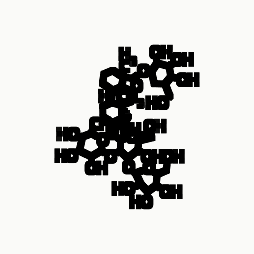 C=C1C[C@@]23CCC4[C@](C)(C(=O)OC5CC(CO)C(O)C(O)C5O)CCC[C@@]4(C)[C@@H]2CCC1(OC1OC(CO)C(O)C(OC2OC(CO)C(O)C(O)C2O)C1OC1OC(C)C(O)C(O)C1O)C3